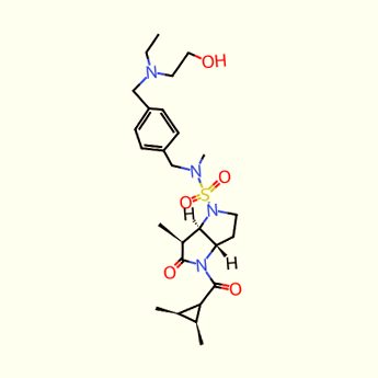 CCN(CCO)Cc1ccc(CN(C)S(=O)(=O)N2CC[C@H]3[C@H]2[C@H](C)C(=O)N3C(=O)C2[C@@H](C)[C@H]2C)cc1